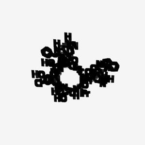 CC(C)C[C@@H]1NC(=O)[C@H](CC(O)O)NC(=O)[C@H](Cc2ccc(O)c(Cl)c2)NC(=O)[C@@H]2CC(O)CN2C(=O)[C@@H](NC(=O)[C@H](Cc2c[nH]cn2)NC(=O)[C@@H](N)Cc2ccccc2)CSSC[C@@H](C(=O)N[C@@H](Cc2c[nH]cn2)C(=O)N[C@@H](Cc2cccc3ccccc23)C(N)=O)NC1=O